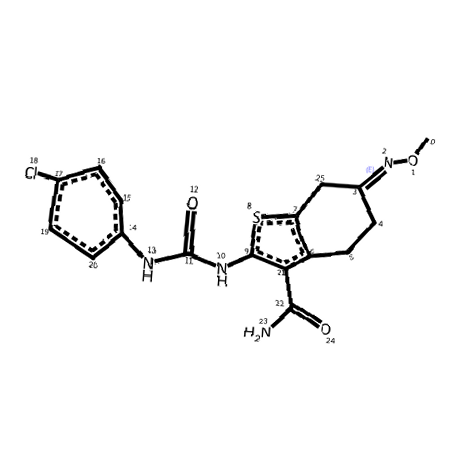 CO/N=C1\CCc2c(sc(NC(=O)Nc3ccc(Cl)cc3)c2C(N)=O)C1